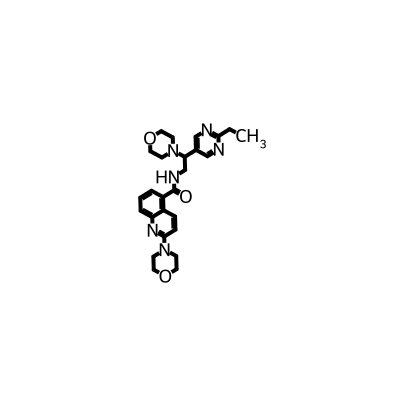 CCc1ncc(C(CNC(=O)c2cccc3nc(N4CCOCC4)ccc23)N2CCOCC2)cn1